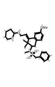 COc1ccc2c(c1)C(=CCOC1CCCCO1)C(C)(C)C(N(C)S(=O)(=O)Cc1ccccc1)C2